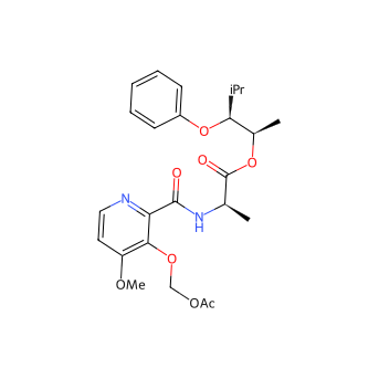 COc1ccnc(C(=O)N[C@H](C)C(=O)O[C@H](C)[C@@H](Oc2ccccc2)C(C)C)c1OCOC(C)=O